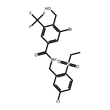 CCS(=O)(=O)c1ccc(Cl)cc1CNC(=O)c1cc(Br)c(CO)c(C(F)(F)F)c1